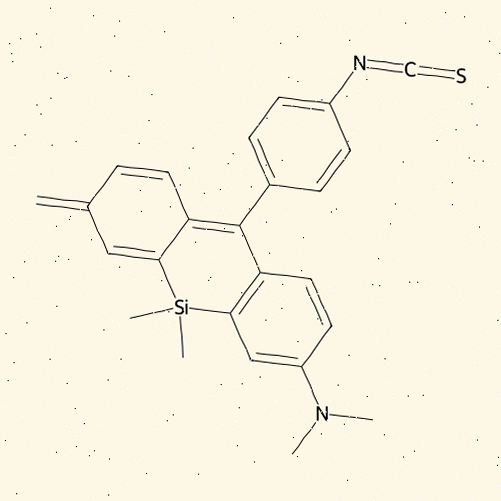 C=c1ccc2c(c1)[Si](C)(C)c1cc(N(C)C)ccc1C=2c1ccc(N=C=S)cc1